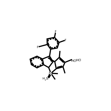 CC1=C(C)C(C)[C]([Zr]([CH3])([CH3])(=[SiH2])[CH]2C=C(c3cc(F)c(F)cc3F)c3ccccc32)=C1C.Cl.Cl